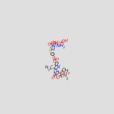 C=C1OCc2c(cc3n(c2=O)Cc2c-3nc3ccc(OC(=O)OCc4ccc(SSC[C@H](NC(=O)[C@@H](N)CC(=O)O)C(=O)O)cc4)cc3c2CC)[C@@]1(O)CC